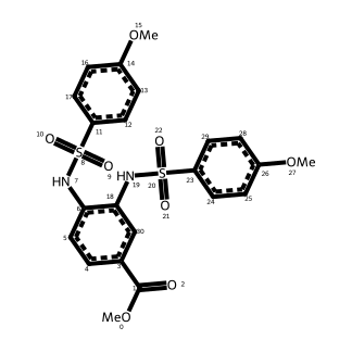 COC(=O)c1ccc(NS(=O)(=O)c2ccc(OC)cc2)c(NS(=O)(=O)c2ccc(OC)cc2)c1